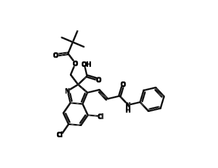 CC(C)(C)C(=O)OCC1(C(=O)O)N=c2cc(Cl)cc(Cl)c2=C1/C=C/C(=O)Nc1ccccc1